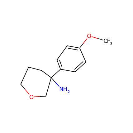 NC1(c2ccc(OC(F)(F)F)cc2)CCCOC1